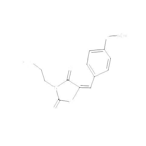 CCCCOc1ccc(/C=C2/SC(=S)N(CCC(=O)O)C2=O)cc1